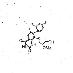 CO[C@@H](CO)CSc1c(-c2ccc(F)cc2F)c(C)cc2c(=O)[nH]c(=O)[nH]c12